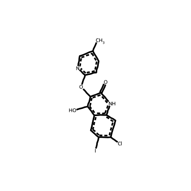 Cc1ccc(Oc2c(O)c3cc(I)c(Cl)cc3[nH]c2=O)nc1